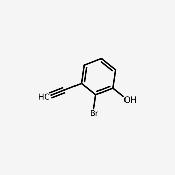 C#Cc1cccc(O)c1Br